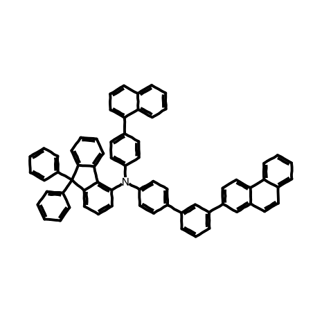 c1ccc(C2(c3ccccc3)c3ccccc3-c3c(N(c4ccc(-c5cccc(-c6ccc7c(ccc8ccccc87)c6)c5)cc4)c4ccc(-c5cccc6ccccc56)cc4)cccc32)cc1